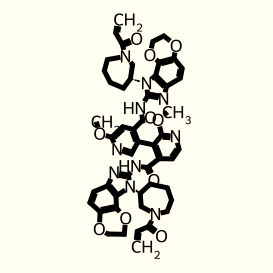 C=CC(=O)N1CCCC[C@@H](n2c(NC(=O)c3cc(OC)ncc3-c3c(C(=O)Nc4nc5ccc6c(c5n4[C@@H]4CCCCN(C(=O)C=C)C4)OCCO6)ccnc3OC)nc3ccc4c(c32)OCCO4)C1